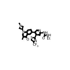 CCNC(=O)Nc1cc(C2=NC(C(F)(F)F)CS2)c(-c2ccc3c(c2)c(=O)c(C)cn3C2CN(C)C2)cn1